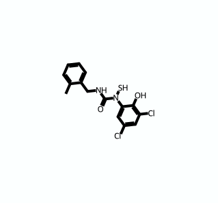 Cc1ccccc1CNC(=O)N(S)c1cc(Cl)cc(Cl)c1O